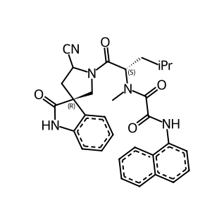 CC(C)C[C@@H](C(=O)N1C[C@]2(CC1C#N)C(=O)Nc1ccccc12)N(C)C(=O)C(=O)Nc1cccc2ccccc12